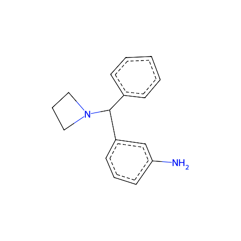 Nc1cccc(C(c2ccccc2)N2CCC2)c1